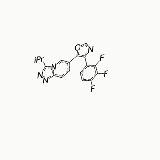 CC(C)c1nnc2ccc(-c3ocnc3-c3ccc(F)c(F)c3F)cn12